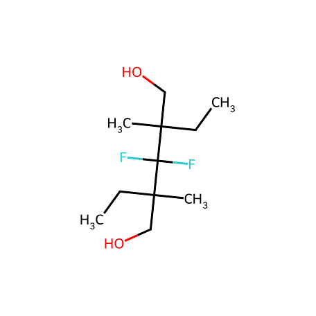 CCC(C)(CO)C(F)(F)C(C)(CC)CO